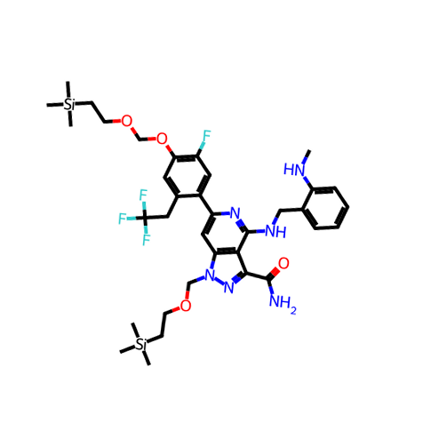 CNc1ccccc1CNc1nc(-c2cc(F)c(OCOCC[Si](C)(C)C)cc2CC(F)(F)F)cc2c1c(C(N)=O)nn2COCC[Si](C)(C)C